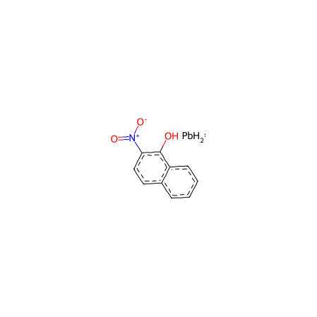 O=[N+]([O-])c1ccc2ccccc2c1O.[PbH2]